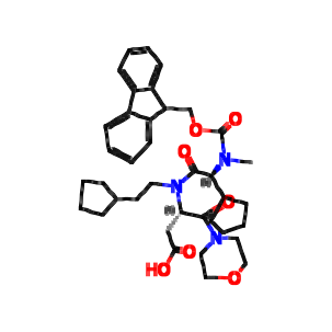 CN(C(=O)OCC1c2ccccc2-c2ccccc21)[C@H](C(=O)N(CCC1CCCC1)[C@@H](CC(=O)O)C(=O)N1CCOCC1)C1CCCC1